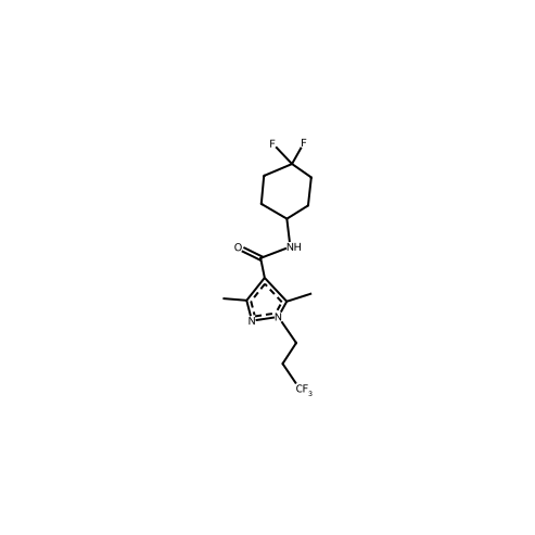 Cc1nn(CCC(F)(F)F)c(C)c1C(=O)NC1CCC(F)(F)CC1